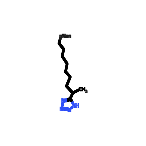 CCCCCCCCCCCCCCCCC(C)c1nnn[nH]1